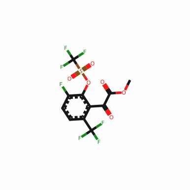 COC(=O)C(=O)c1c(C(F)(F)F)ccc(F)c1OS(=O)(=O)C(F)(F)F